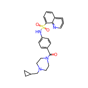 O=C(c1ccc(NS(=O)(=O)c2cccc3c2=NC=C=C=3)cc1)N1CCN(CC2CC2)CC1